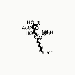 C=O.CCCCCCCCCCCCCCCC(=O)OC[C@H](O)[C@H]1OC(=O)C(O)=C1OC(C)=O.[NaH]